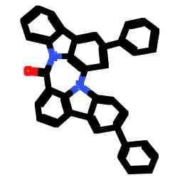 O=c1c2cccc3c4cc(-c5ccccc5)ccc4n(c4cc(-c5ccccc5)cc5c6ccccc6n1c54)c23